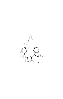 CCOC(=O)c1cnc(Nc2cc([N+](=O)[O-])c(N(C)CCN(C)C)cc2C)nc1-c1cn(C)c2ccccc12